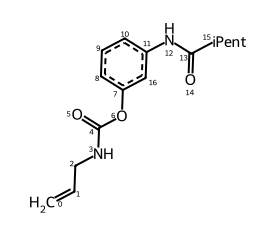 C=CCNC(=O)Oc1cccc(NC(=O)C(C)CCC)c1